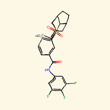 O=C(O)C=C1CC2CCC(C1)C2S(=O)(=O)c1cccc(C(=O)Nc2cc(F)c(F)c(F)c2)c1